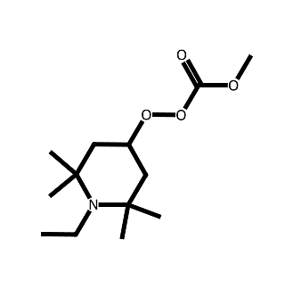 CCN1C(C)(C)CC(OOC(=O)OC)CC1(C)C